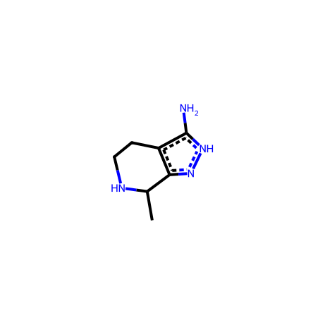 CC1NCCc2c1n[nH]c2N